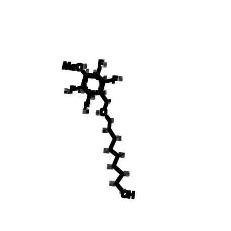 COc1c(F)c(F)c(COCCCCCCCCO)c(F)c1F